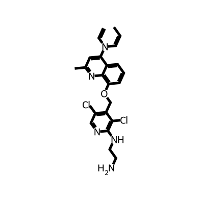 C=CN(/C=C\C)c1cc(C)nc2c(OCc3c(Cl)cnc(NCCN)c3Cl)cccc12